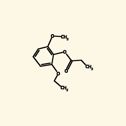 CCOc1cccc(OC)c1OC(=O)CC